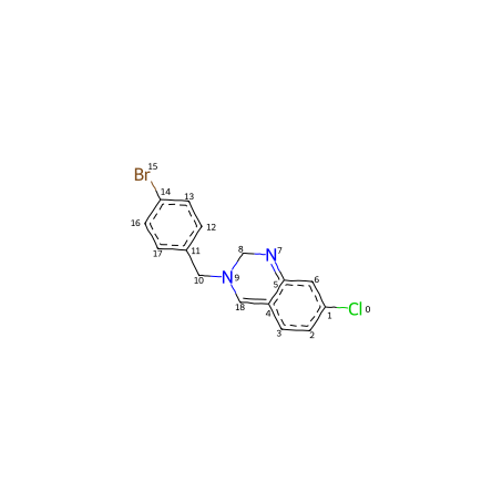 Clc1ccc2c(c1)=NCN(Cc1ccc(Br)cc1)C=2